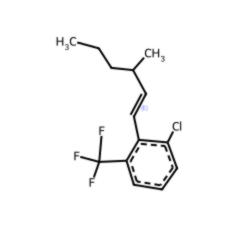 CCCC(C)/C=C/c1c(Cl)cccc1C(F)(F)F